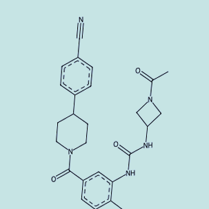 CC(=O)N1CC(NC(=O)Nc2cc(C(=O)N3CCC(c4ccc(C#N)cc4)CC3)ccc2C)C1